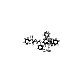 COc1ccccc1Oc1c(NS(=O)(=O)c2ccccc2C(C)(C)C)nc(N2CCOCC2)nc1OCCOC(=O)Nc1ccccn1